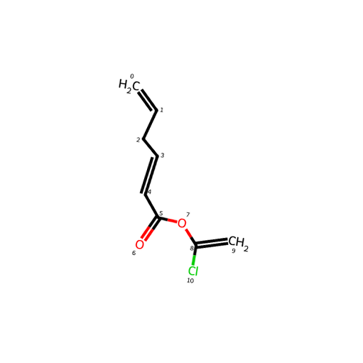 C=CCC=CC(=O)OC(=C)Cl